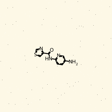 Nc1ccc(NC(=O)c2cscn2)nc1